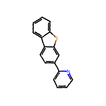 c1ccc(-c2ccc3c(c2)sc2ccccc23)nc1